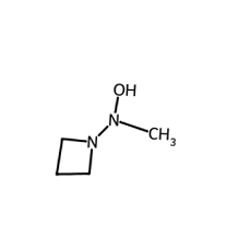 CN(O)N1CCC1